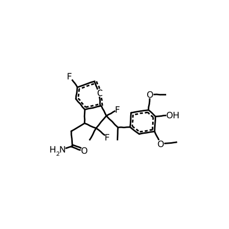 COc1cc(C(C)C2(F)c3ccc(F)cc3C(CC(N)=O)C2(C)F)cc(OC)c1O